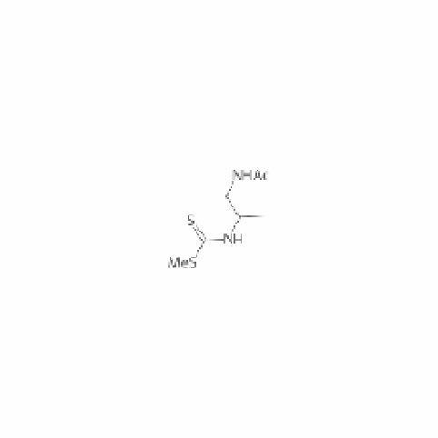 CSC(=S)NC(C)CNC(C)=O